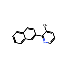 N#Cc1cccnc1-c1ccc2cc[c]cc2c1